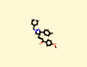 COc1ccc(C(=O)C=Cc2cn(Cc3ccccc3)nc2-c2ccc(C)cc2)cc1